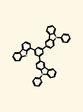 c1ccc(-n2c3ccccc3c3cc(-c4cc(-c5ccc6c(c5)c5ccccc5n6-c5ccccc5)cc(-c5cccc6c5sc5ccccc56)c4)ccc32)cc1